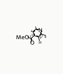 COC(=O)c1ccnc(C)c1C